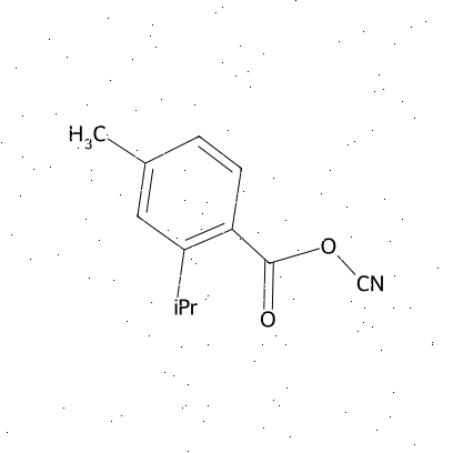 Cc1ccc(C(=O)OC#N)c(C(C)C)c1